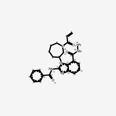 C=CC(=O)N1CCCCC(n2c(NC(=O)c3ccccc3)nc3cccc(C(=O)NCCC)c32)C1